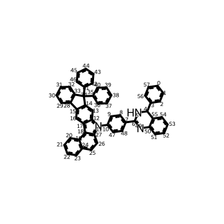 c1ccc(C2NC(c3ccc(-n4c5cc6c(cc5c5c7ccccc7ccc54)-c4ccccc4C6(c4ccccc4)c4ccccc4)cc3)=Nc3ccccc32)cc1